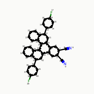 N#Cc1cc2c(cc1C#N)c1cc(-c3ccc(F)cc3)c3ccccc3c1c1c3ccccc3c(-c3ccc(F)cc3)cc21